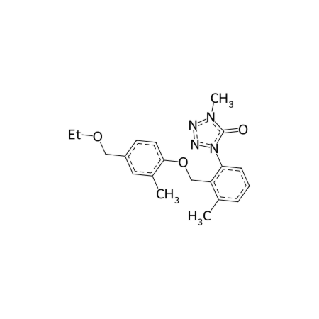 CCOCc1ccc(OCc2c(C)cccc2-n2nnn(C)c2=O)c(C)c1